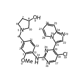 COc1cc(CN2CCC(O)C2)ccc1Nc1ncc(Cl)c(-c2cnc3ccccn23)n1